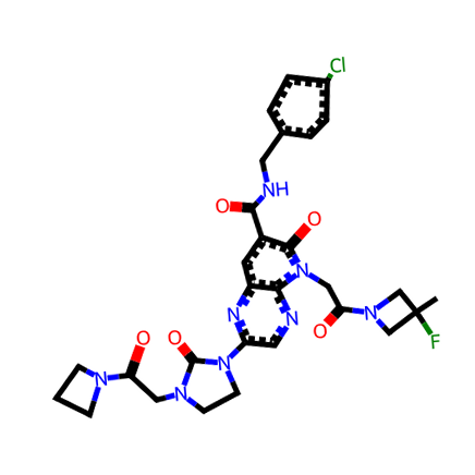 CC1(F)CN(C(=O)Cn2c(=O)c(C(=O)NCc3ccc(Cl)cc3)cc3nc(N4CCN(CC(=O)N5CCC5)C4=O)cnc32)C1